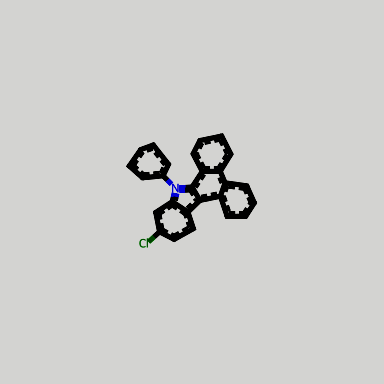 Clc1ccc2c3c4ccccc4c4ccccc4c3n(-c3ccccc3)c2c1